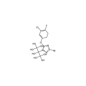 OC(O)(O)C(O)(n1nc(Br)nc1OC1=CC(Cl)=C(F)CC1)C(O)(O)O